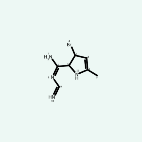 CC1=CC(Br)C(/C(N)=N\C=N)N1